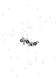 CCN1CCCC1NC(=O)c1ccc(NC(=O)C(C)(C)Oc2ccc(Cl)cc2)cc1C